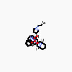 CC(=O)CCN1CC[C@@H](Cc2nc3ccccc3n2[C@H]2C[C@H]3CCC[C@@H](C2)N3[C@@H]2C[C@@H]3CCCC[C@@H](C3)C2)C1